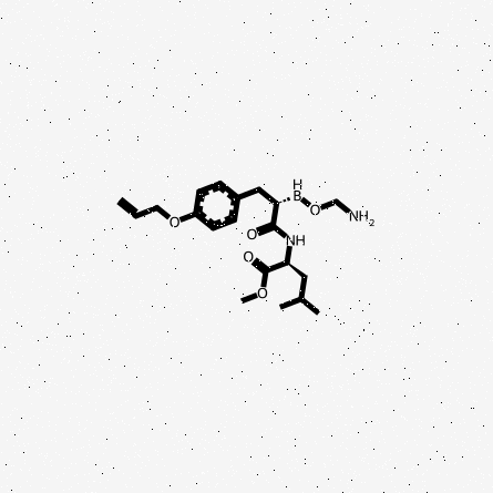 C=CCOc1ccc(C[C@H](BOCN)C(=O)N[C@@H](CC(C)C)C(=O)OC)cc1